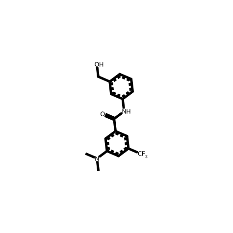 CN(C)c1cc(C(=O)Nc2cccc(CO)c2)cc(C(F)(F)F)c1